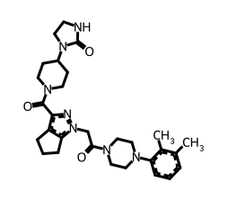 Cc1cccc(N2CCN(C(=O)Cn3nc(C(=O)N4CCC(N5CCNC5=O)CC4)c4c3CCC4)CC2)c1C